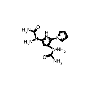 NC(=O)N(N)c1cc(N(N)C(N)=O)c(-n2cccc2)[nH]1